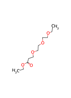 CCOCCOCCOCCC(=O)OCC